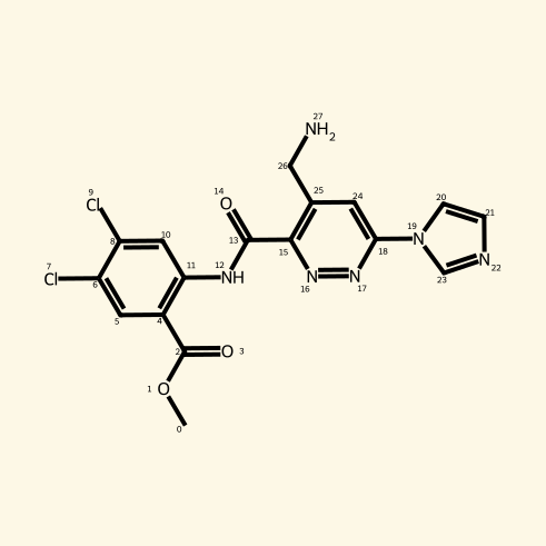 COC(=O)c1cc(Cl)c(Cl)cc1NC(=O)c1nnc(-n2ccnc2)cc1CN